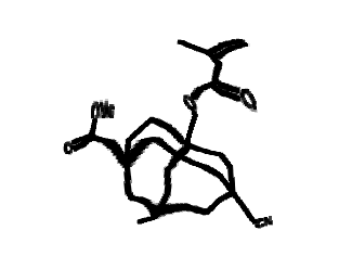 C=C(C)C(=O)OC12CC3(C)CC(C#N)(C1)CC(C(=O)OC)(C3)C2